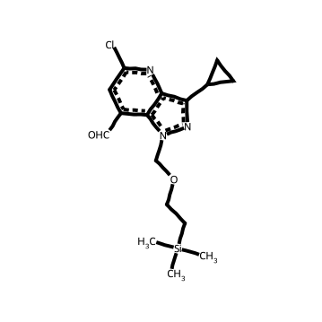 C[Si](C)(C)CCOCn1nc(C2CC2)c2nc(Cl)cc(C=O)c21